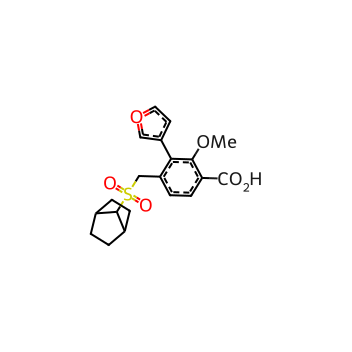 COc1c(C(=O)O)ccc(CS(=O)(=O)C2C3CCC2CC3)c1-c1ccoc1